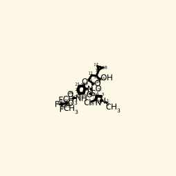 CCn1cc(S(=O)(=O)N2CC(CC(C(=O)O)C3CC3)Oc3ccc(NC(=O)OC(C)(C)C(F)(F)F)cc32)c(Cl)n1